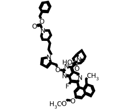 CCc1cccc2cc(OCOC)cc(-c3ncc4c(N5CC6CCC(C5)N6C(=O)O)nc(OCc5cccn5CCCC5CCN(C(=O)OCc6ccccc6)CC5)nc4c3F)c12